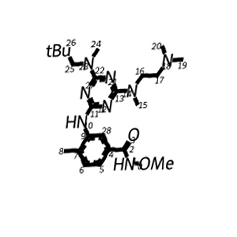 CONC(=O)c1ccc(C)c(Nc2nc(N(C)CCN(C)C)nc(N(C)CC(C)(C)C)n2)c1